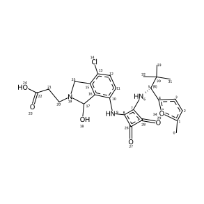 Cc1ccc([C@H](Nc2c(Nc3ccc(Cl)c4c3C(O)N(CCC(=O)O)C4)c(=O)c2=O)C(C)(C)C)o1